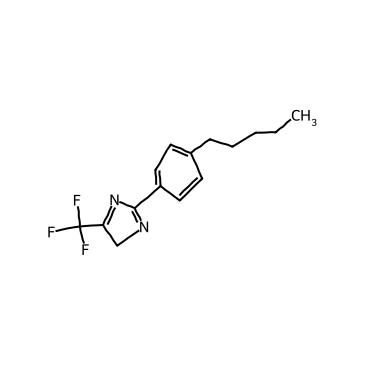 CCCCCc1ccc(C2=NCC(C(F)(F)F)=N2)cc1